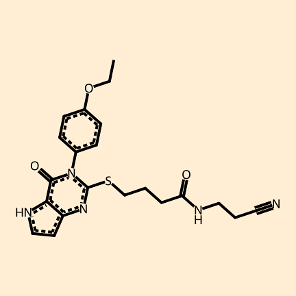 CCOc1ccc(-n2c(SCCCC(=O)NCCC#N)nc3cc[nH]c3c2=O)cc1